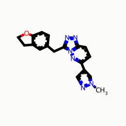 Cn1cc(-c2ccc3nnc(Cc4ccc5c(c4)CCO5)n3n2)cn1